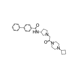 O=C(NC1CCN(CC(=O)N2CCN(C3CCC3)CC2)C1)c1ccc(-c2ccccc2)cc1